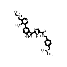 CCNCc1cncc(-c2ccc3[nH]nc(-c4ncc(C(=O)NCc5ccc(CN(C)C)cc5)[nH]4)c3c2)c1C